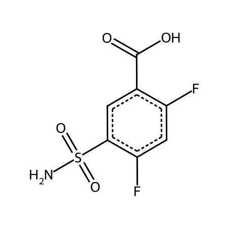 NS(=O)(=O)c1cc(C(=O)O)c(F)cc1F